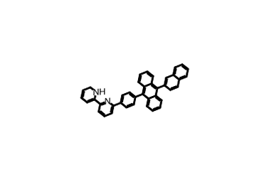 C1=CCNC(c2cccc(-c3ccc(-c4c5ccccc5c(-c5ccc6ccccc6c5)c5ccccc45)cc3)n2)=C1